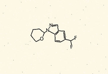 FC(F)c1ccc2c(cnn2C2CCCCO2)c1